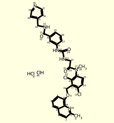 Cc1ccc2cccc(OCc3c(Cl)ccc(N(C)C(=O)CNC(=O)Nc4cccc(C(=O)NCc5ccncc5)c4)c3Cl)c2n1.Cl.Cl